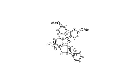 COc1ccc(C(OC23CC(OC(=O)C(C)C)CC(C(O)C2)N3Cc2ccccc2)(c2ccccc2)c2ccc(OC)cc2)cc1